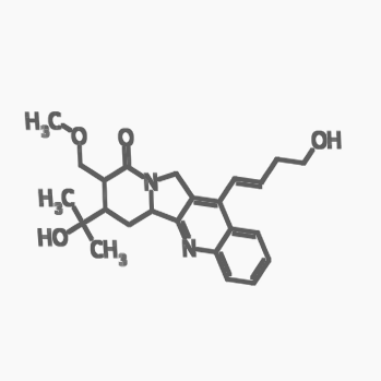 COCC1C(=O)N2Cc3c(nc4ccccc4c3/C=C/CCO)C2CC1C(C)(C)O